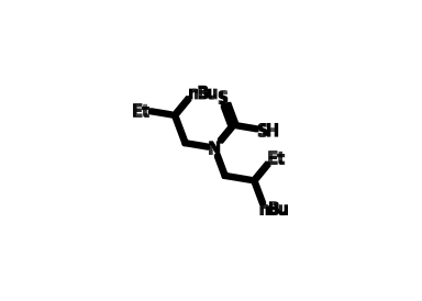 CCCCC(CC)CN(CC(CC)CCCC)C(=S)S